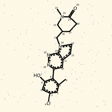 Cc1cc(Cl)cc(O)c1-c1cc2ccn(CC3CCC(=O)N(C)C3)c2nn1